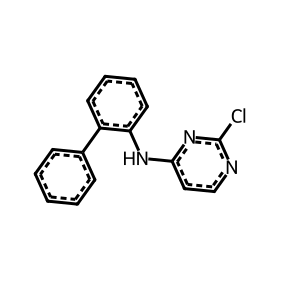 Clc1nccc(Nc2ccccc2-c2ccccc2)n1